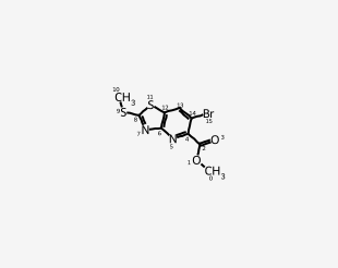 COC(=O)c1nc2nc(SC)sc2cc1Br